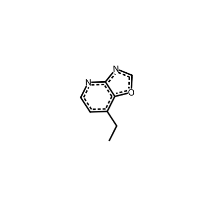 CCc1ccnc2ncoc12